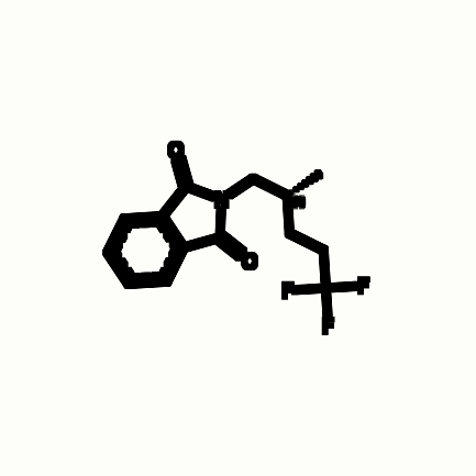 C[C@H](CCC(F)(F)F)CN1C(=O)c2ccccc2C1=O